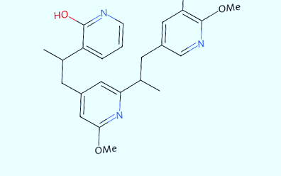 COc1cc(CC(C)c2cccnc2O)cc(C(C)Cc2cnc(OC)c(C(C)C)c2)n1